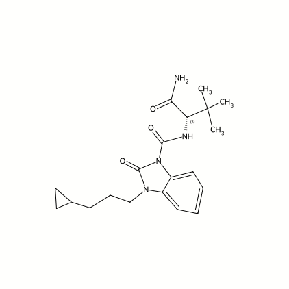 CC(C)(C)[C@H](NC(=O)n1c(=O)n(CCCC2CC2)c2ccccc21)C(N)=O